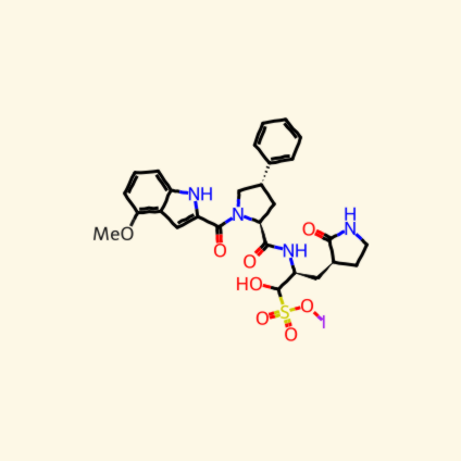 COc1cccc2[nH]c(C(=O)N3C[C@H](c4ccccc4)C[C@H]3C(=O)N[C@@H](C[C@@H]3CCNC3=O)C(O)S(=O)(=O)OI)cc12